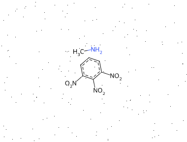 CN.O=[N+]([O-])c1cccc([N+](=O)[O-])c1[N+](=O)[O-]